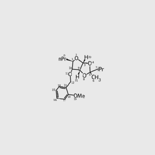 CCC[C@H]1O[C@@H]2OC(C)(C(C)C)O[C@@H]2[C@H]1OCc1ccccc1OC